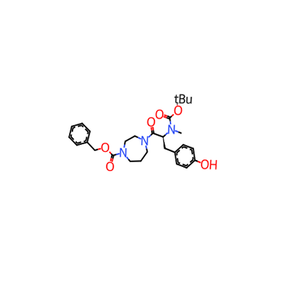 CN(C(=O)OC(C)(C)C)[C@@H](Cc1ccc(O)cc1)C(=O)N1CCCN(C(=O)OCc2ccccc2)CC1